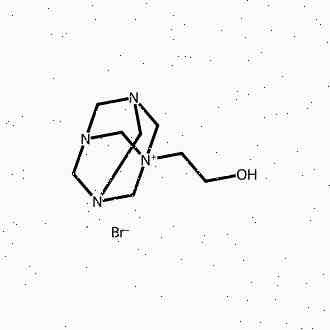 OCC[N+]12CN3CN(CN(C3)C1)C2.[Br-]